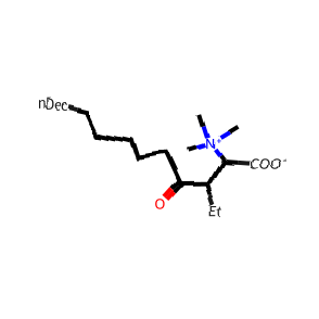 CCCCCCCCCCCCCCCC(=O)C(CC)C(C(=O)[O-])[N+](C)(C)C